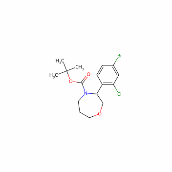 CC(C)(C)OC(=O)N1CCCOCC1c1ccc(Br)cc1Cl